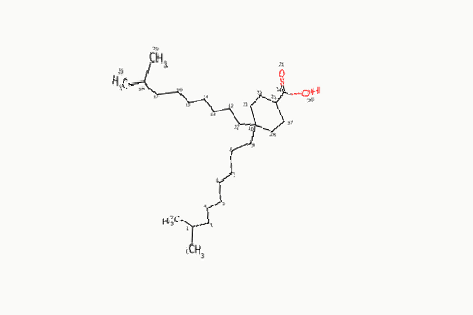 CC(C)CCCCCCCC1(CCCCCCCC(C)C)CCC(C(=O)O)CC1